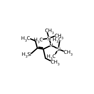 CCC([SiH3])=C(CC)N([Si](C)(C)C)[Si](C)(C)C